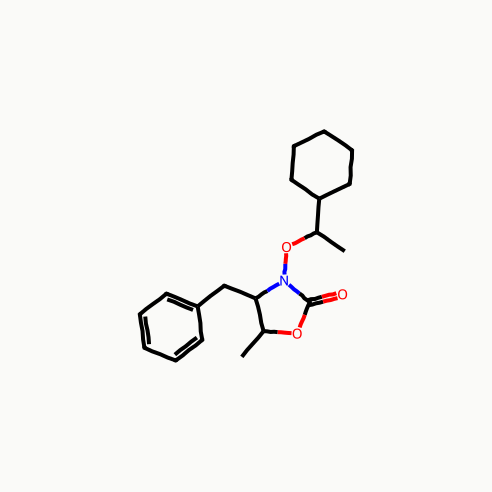 CC(ON1C(=O)OC(C)C1Cc1ccccc1)C1CCCCC1